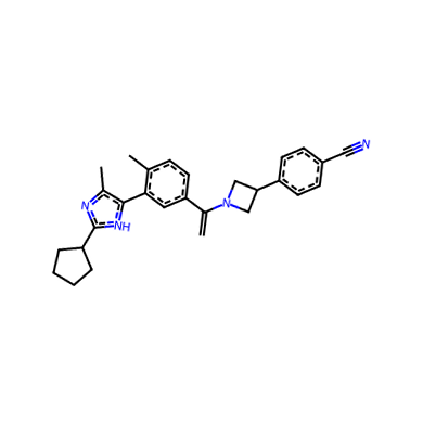 C=C(c1ccc(C)c(-c2[nH]c(C3CCCC3)nc2C)c1)N1CC(c2ccc(C#N)cc2)C1